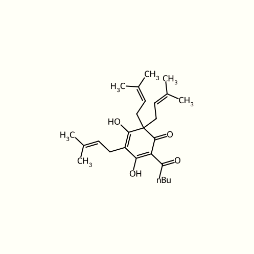 CCCCC(=O)C1=C(O)C(CC=C(C)C)=C(O)C(CC=C(C)C)(CC=C(C)C)C1=O